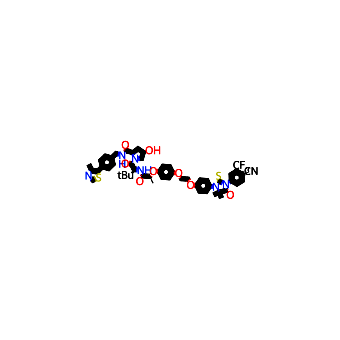 Cc1ncsc1-c1ccc(CNC(=O)C2C[C@@H](O)CN2C(=O)[C@@H](NC(=O)[C@@H](C)Oc2ccc(OCCOc3ccc(N4C(=S)N(c5ccc(C#N)c(C(F)(F)F)c5)C(=O)C4(C)C)cc3)cc2)C(C)(C)C)cc1